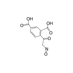 O=NCC(=O)c1ccc(C(=O)O)cc1C(=O)O